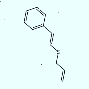 C=CCSC=Cc1ccccc1